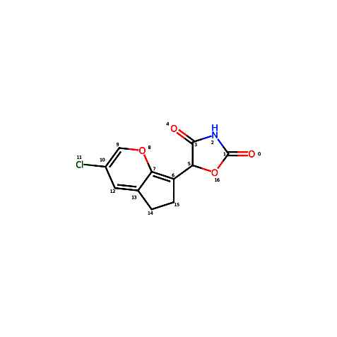 O=C1NC(=O)C(C2=C3OC=C(Cl)C=C3CC2)O1